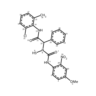 COc1ccc(NC(=O)N(S)C(C(=O)Nc2c(C)cccc2Cl)c2ccccc2)c([N+](=O)[O-])c1